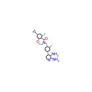 Cc1cc(-c2ccnc(N)c2N)ccc1CN1CCOc2cc(C3CC3)cc(F)c2C1=O